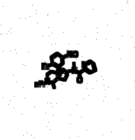 CCCN1CCC2(c3cc(N=O)ccc3CC)C3CCC2(CCC3N(C)C(=O)c2ccccn2)C1C